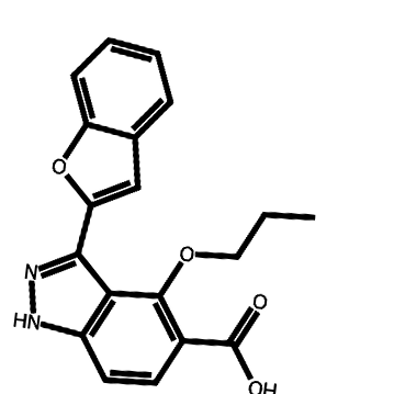 CCCOc1c(C(=O)O)ccc2[nH]nc(-c3cc4ccccc4o3)c12